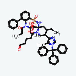 CCC(=O)N(C(=O)CC)c1c(-c2ccccc2)cccc1S(=O)(=O)NC1(C(=O)O)CC(CC)C(c2ncn(C(c3ccccc3)(c3ccccc3)c3ccccc3)c2C)CN1CCCCC=O